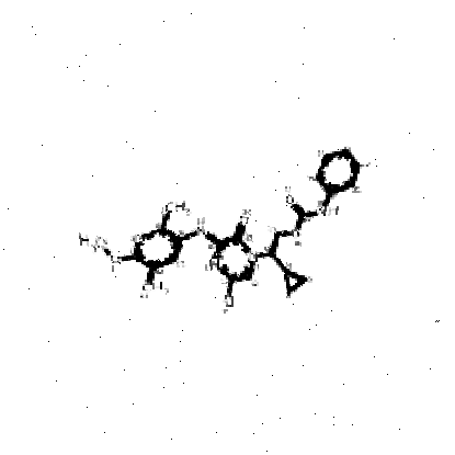 COc1nc(C)c(Nc2nc(Cl)cn(C(COC(=O)Nc3ccccc3)C3CC3)c2=O)cc1C